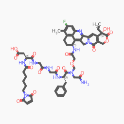 CC[C@@]1(O)C(=O)OCc2c1cc1n(c2=O)Cc2c-1nc1cc(F)c(C)c3c1c2[C@@H](NC(=O)COCN(CC(N)=O)C(=O)[C@H](Cc1ccccc1)NC(=O)CNC(=O)CNC(=O)[C@H](CC(=O)O)NC(=O)CCCCCN1C(=O)C=CC1=O)CC3